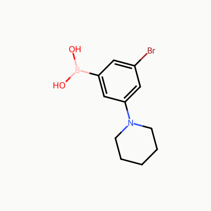 OB(O)c1cc(Br)cc(N2CCCCC2)c1